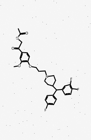 COc1cc(C(=O)COC(C)=O)ccc1OCCCN1CCC(C(c2ccc(F)cc2)c2ccc(F)c(F)c2)CC1